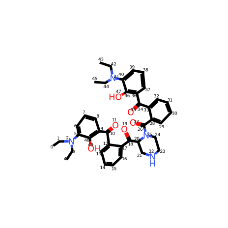 CCN(CC)c1cccc(C(=O)c2ccccc2C(=O)C2CNCCN2C(=O)c2ccccc2C(=O)c2cccc(N(CC)CC)c2O)c1O